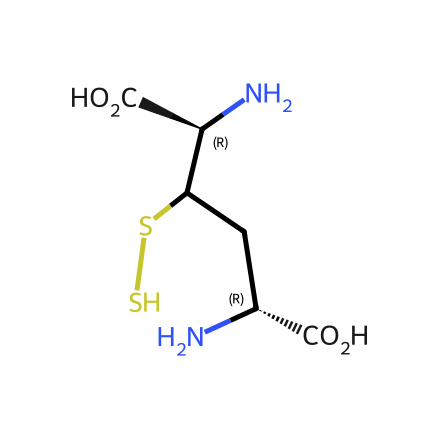 N[C@H](CC(SS)[C@H](N)C(=O)O)C(=O)O